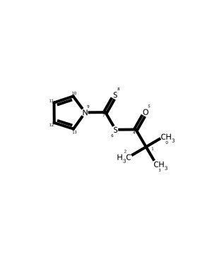 CC(C)(C)C(=O)SC(=S)n1cccc1